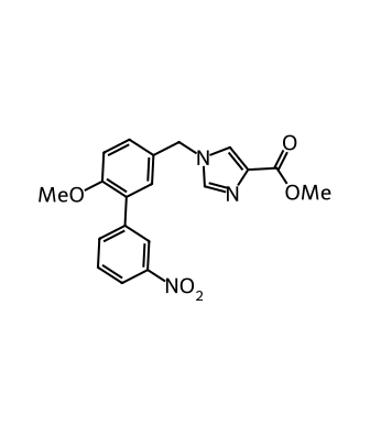 COC(=O)c1cn(Cc2ccc(OC)c(-c3cccc([N+](=O)[O-])c3)c2)cn1